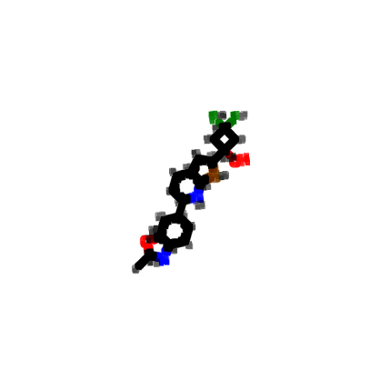 Cc1nc2ccc(-c3ccc4cc(C5(O)CC(F)(F)C5)sc4n3)cc2o1